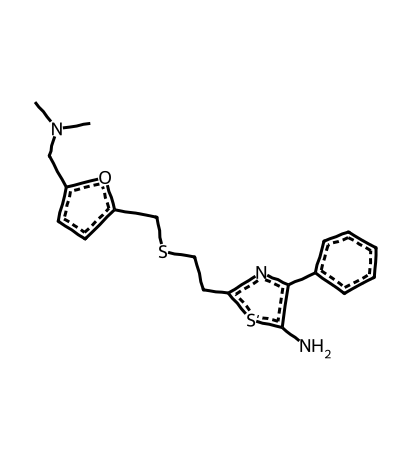 CN(C)Cc1ccc(CSCCc2nc(-c3ccccc3)c(N)s2)o1